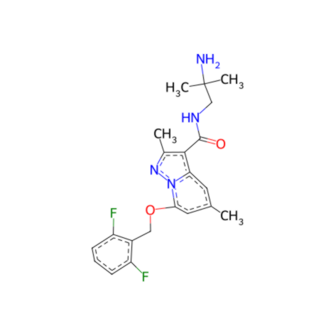 Cc1cc(OCc2c(F)cccc2F)n2nc(C)c(C(=O)NCC(C)(C)N)c2c1